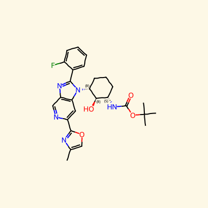 Cc1coc(-c2cc3c(cn2)nc(-c2ccccc2F)n3[C@@H]2CCC[C@H](NC(=O)OC(C)(C)C)[C@H]2O)n1